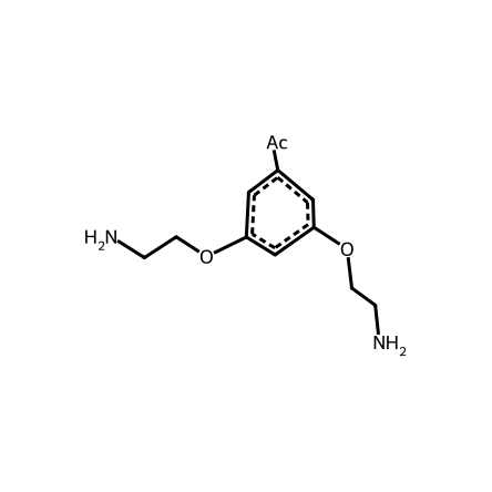 CC(=O)c1cc(OCCN)cc(OCCN)c1